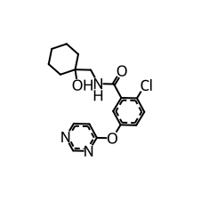 O=C(NCC1(O)CCCCC1)c1cc(Oc2ccncn2)ccc1Cl